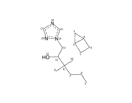 C1CC2CC12.CCCC(C)(C)C(O)Cn1cncn1